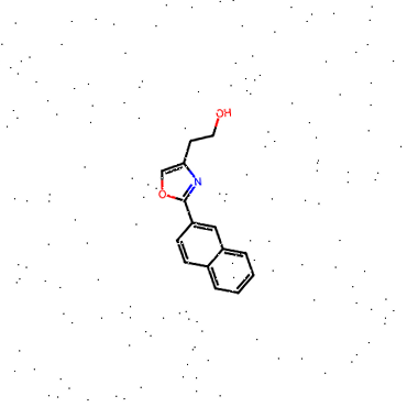 OCCc1coc(-c2ccc3ccccc3c2)n1